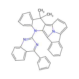 CC1(C)c2ccccc2N(c2nc(-c3ccccc3)c3ccccc3n2)c2c1c1cccc3c4ccccc4c2n13